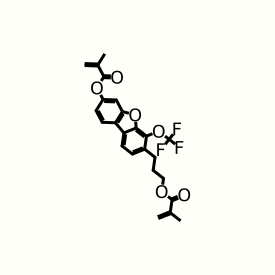 C=C(C)C(=O)OCCCc1ccc2c(oc3cc(OC(=O)C(=C)C)ccc32)c1OC(F)(F)F